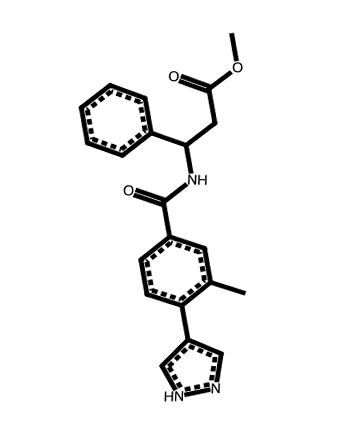 COC(=O)CC(NC(=O)c1ccc(-c2cn[nH]c2)c(C)c1)c1ccccc1